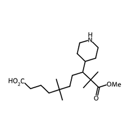 COC(=O)C(C)(C)C(CCC(C)(C)CCCC(=O)O)C1CCNCC1